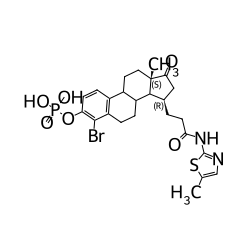 Cc1cnc(NC(=O)CC[C@@H]2CC(=O)[C@@]3(C)CCC4c5ccc(OP(=O)(O)O)c(Br)c5CCC4C23)s1